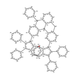 c1ccc(-c2c(-c3ccccc3)n(-c3ccc4c(c3)B3c5cc(-n6c(-c7ccccc7)c(-c7ccccc7)c7ccccc76)ccc5N(c5ccccc5)c5cccc(c53)C4)c3ccccc23)cc1